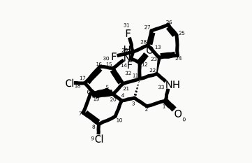 O=C1CC(C2C=CC=C(Cl)C2)[C@]2(C(=O)Nc3cc(Cl)ccc32)[C@@H](c2ccccc2C(F)(F)F)N1